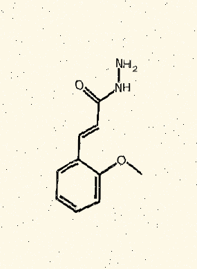 COc1ccccc1C=CC(=O)NN